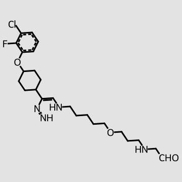 N=N/C(=C\NCCCCCOCCCNCC=O)C1CCC(Oc2cccc(Cl)c2F)CC1